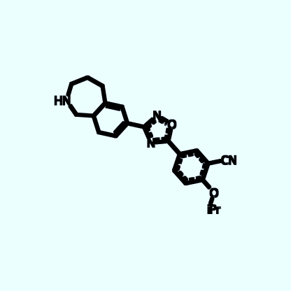 CC(C)Oc1ccc(-c2nc(C3=CCC4CNCCCC4=C3)no2)cc1C#N